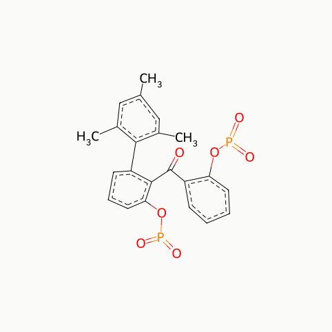 Cc1cc(C)c(-c2cccc(OP(=O)=O)c2C(=O)c2ccccc2OP(=O)=O)c(C)c1